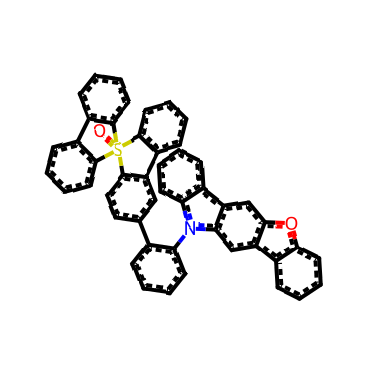 O=S12(c3ccccc3-c3ccccc31)c1ccccc1-c1cc(-c3ccccc3-n3c4ccccc4c4cc5oc6ccccc6c5cc43)ccc12